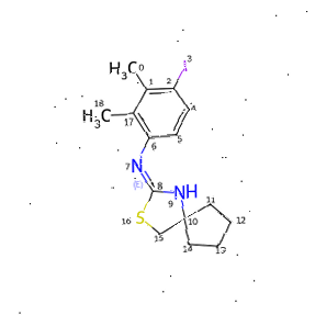 Cc1c(I)ccc(/N=C2\NC3(CCCC3)CS2)c1C